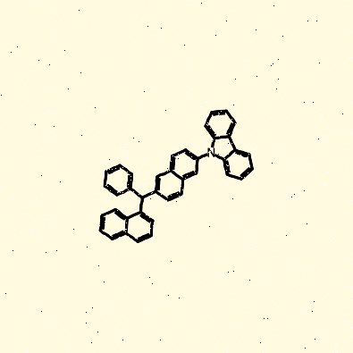 c1ccc(C(c2ccc3cc(-n4c5ccccc5c5ccccc54)ccc3c2)c2cccc3ccccc23)cc1